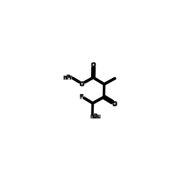 CCCCC(F)C(=O)C(C)C(=O)OCCC